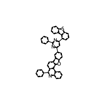 c1ccc(-c2nc(-c3ccc4oc5c(ccc6c(-c7ccccc7)nc7ccccc7c65)c4c3)cc(-c3cccc4sc5ccccc5c34)n2)cc1